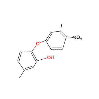 Cc1ccc(Oc2ccc([N+](=O)[O-])c(C)c2)c(O)c1